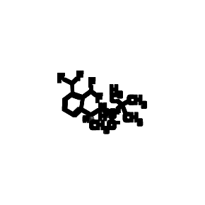 C[C@@H](N[S@+]([O-])C(C)(C)C)c1cccc(C(F)F)c1C(F)F